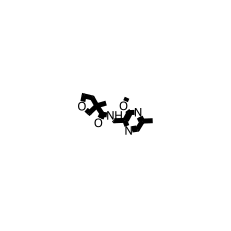 COc1nc(C)cnc1CNC(=O)C1(C)CCOC1